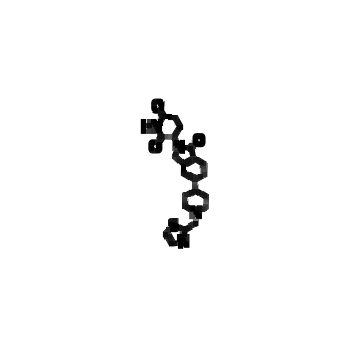 O=C1CCC(N2Cc3cc(C4CCN(Cc5nccs5)CC4)ccc3C2=O)C(=O)N1